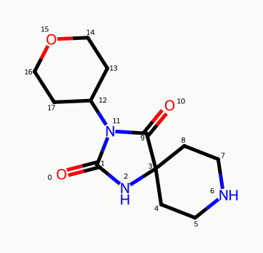 O=C1NC2(CCNCC2)C(=O)N1C1CCOCC1